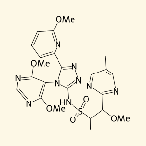 COc1cccc(-c2nnc(NS(=O)(=O)C(C)C(OC)c3ncc(C)cn3)n2-c2c(OC)ncnc2OC)n1